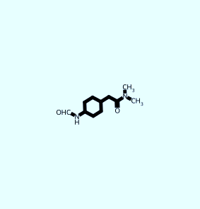 CN(C)C(=O)CC1CCC(NC=O)CC1